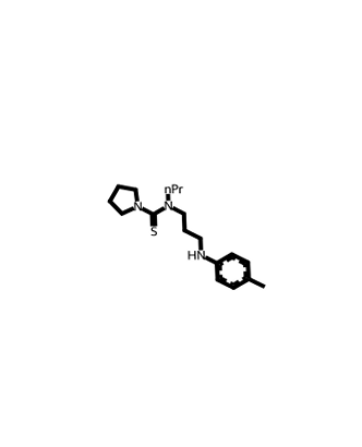 CCCN(CCCNc1ccc(C)cc1)C(=S)N1CCCC1